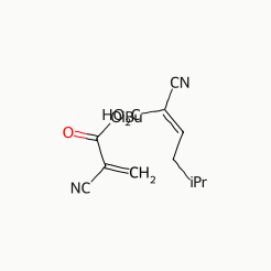 C=C(C#N)C(=O)OCC(C)C.CC(C)CC=C(C#N)C(=O)O